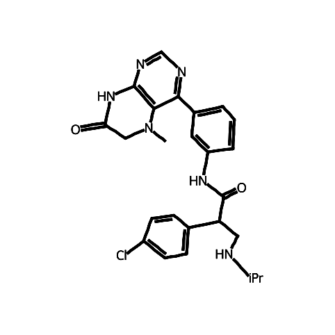 CC(C)NCC(C(=O)Nc1cccc(-c2ncnc3c2N(C)CC(=O)N3)c1)c1ccc(Cl)cc1